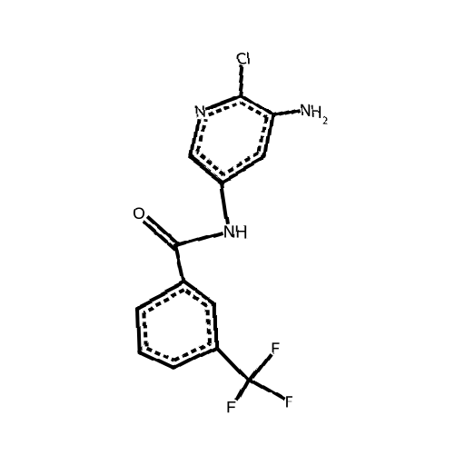 Nc1cc(NC(=O)c2cccc(C(F)(F)F)c2)cnc1Cl